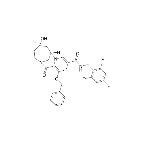 C[C@@]1(O)CCN2C[C@H](C1)N1C=C(C(=O)NCc3c(F)cc(F)cc3F)CC(OCc3ccccc3)=C1C2=O